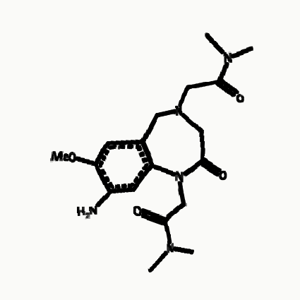 COc1cc2c(cc1N)N(CC(=O)N(C)C)C(=O)CN(CC(=O)N(C)C)C2